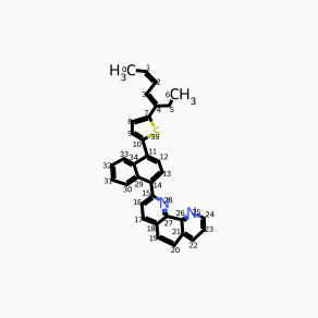 C/C=C\C=C(/CC)c1ccc(-c2ccc(-c3ccc4ccc5cccnc5c4n3)c3ccccc23)s1